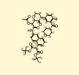 CC(=O)OC(C(=O)Nc1ccc2c(N(C(=O)OC(C)(C)C)C(=O)OC(C)(C)C)nccc2c1)C1OCCN(c2ccc(F)c(C(=O)N3CCOCC3)c2)C1=O